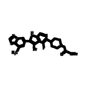 CNC(=O)CN1CCC(c2ncc3[nH]c(-c4cc(C)c5ncnn5c4)c(C(C)C)c3c2F)CC1